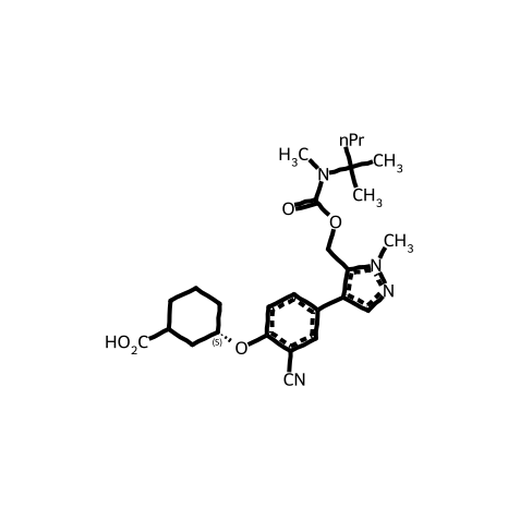 CCCC(C)(C)N(C)C(=O)OCc1c(-c2ccc(O[C@H]3CCCC(C(=O)O)C3)c(C#N)c2)cnn1C